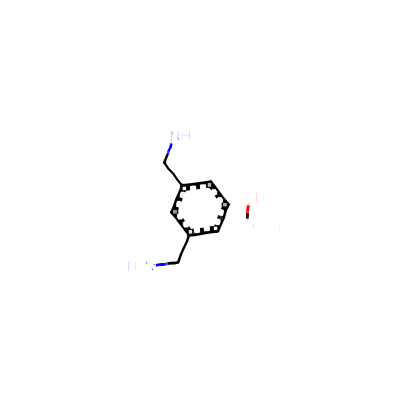 NCc1cccc(CN)c1.O=C(O)O